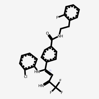 N=C(/C=C(\Nc1ccccc1Cl)c1ccc(C(=O)NCCc2ccccc2F)cc1)C(F)(F)F